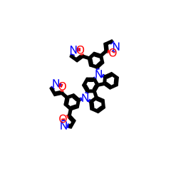 c1ccc2c(c1)c1c3c4ccccc4n(-c4cc(-c5ccno5)cc(-c5ccno5)c4)c3ccc1n2-c1cc(-c2ccno2)cc(-c2ccno2)c1